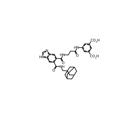 O=C(CCNC(=O)c1cc2nc[nH]c2cc1C(=O)NCC12CC3CC(CC(C3)C1)C2)Nc1cc(C(=O)O)cc(C(=O)O)c1